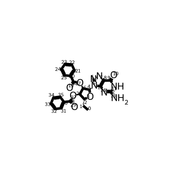 CC[C@H]1O[C@@H](n2nnc3c(=O)[nH]c(N)nc32)[C@H](OC(=O)c2ccccc2)[C@@H]1OC(=O)c1ccccc1